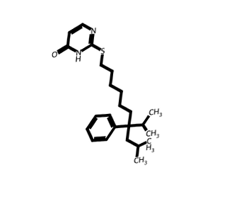 CC(C)CC(CCCCCCSc1nccc(=O)[nH]1)(c1ccccc1)C(C)C